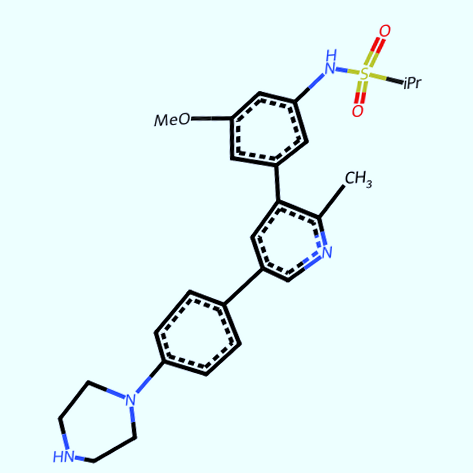 COc1cc(NS(=O)(=O)C(C)C)cc(-c2cc(-c3ccc(N4CCNCC4)cc3)cnc2C)c1